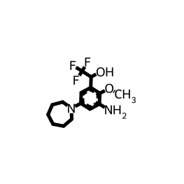 COc1c(N)cc(N2CCCCCC2)cc1C(O)C(F)(F)F